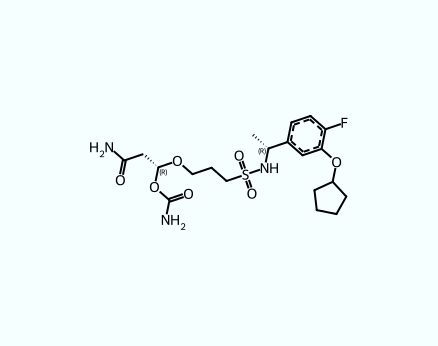 C[C@@H](NS(=O)(=O)CCCO[C@@H](CC(N)=O)OC(N)=O)c1ccc(F)c(OC2CCCC2)c1